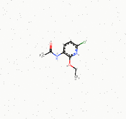 O=C(Nc1ccc(Cl)nc1OCC(F)(F)F)C(F)(F)F